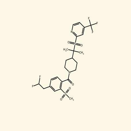 CC(C)(C1CCN(C(=O)c2ccc(CC(F)F)cc2S(C)(=O)=O)CC1)S(=O)(=O)c1cc(C(F)(F)F)ccn1